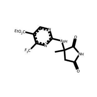 CCOC(=O)c1cnc([AsH]C2(C)CC(=O)NC2=O)nc1C(F)(F)F